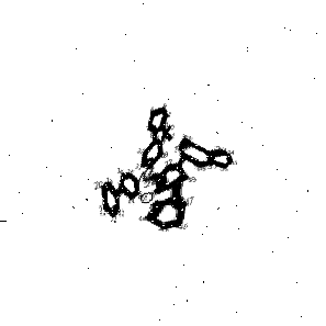 CC1(C)c2ccccc2-c2ccc(N(c3ccc(-c4ccccc4)cc3)c3cc(-c4ccc5ccccc5c4)cc4c3oc3ccccc34)cc21